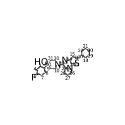 OC1(c2ccc(F)cc2)CCN(c2nc3cc(-c4ccccc4)sc3n3cccc23)CC1